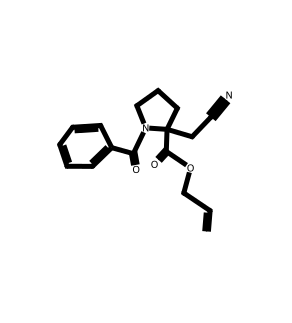 C=CCOC(=O)C1(CC#N)CCCN1C(=O)c1ccccc1